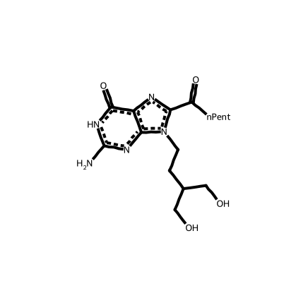 CCCCCC(=O)c1nc2c(=O)[nH]c(N)nc2n1CCC(CO)CO